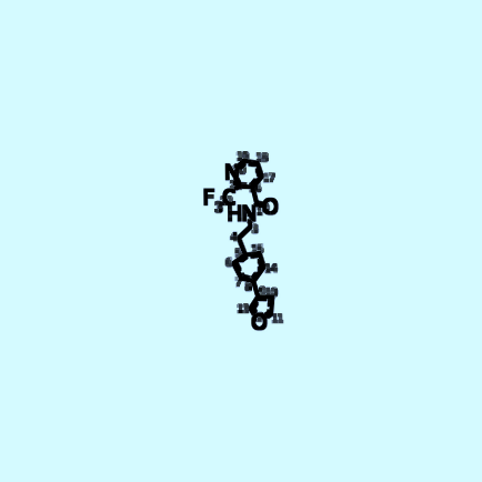 O=C(NCCc1ccc(-c2ccoc2)cc1)c1cccnc1C(F)(F)F